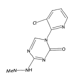 CNNc1ncn(-c2ncccc2Cl)c(=O)n1